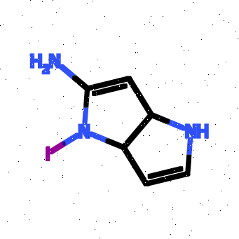 NC1=CC2NC=CC2N1I